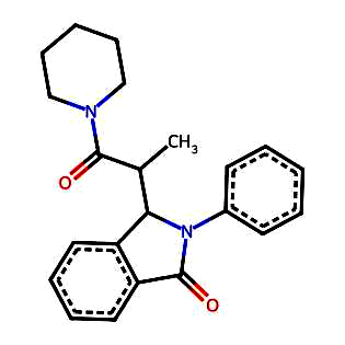 CC(C(=O)N1CCCCC1)C1c2ccccc2C(=O)N1c1ccccc1